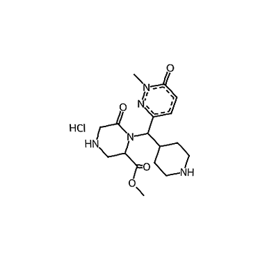 COC(=O)C1CNCC(=O)N1C(c1ccc(=O)n(C)n1)C1CCNCC1.Cl